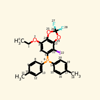 CCOc1cc(P(c2ccc(C)cc2)c2ccc(C)cc2)c(I)c2c1OC(F)(F)O2